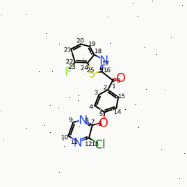 O=C(c1ccc(Oc2nccnc2Cl)cc1)c1nc2cccc(F)c2s1